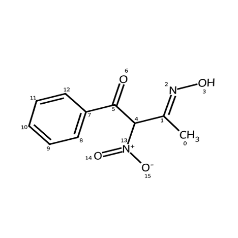 CC(=NO)C(C(=O)c1ccccc1)[N+](=O)[O-]